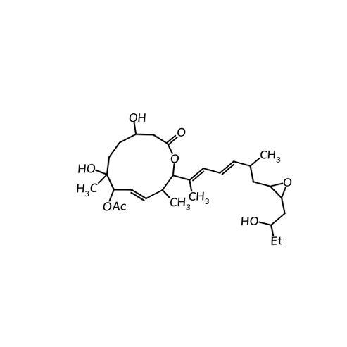 CCC(O)CC1OC1CC(C)/C=C/C=C(\C)C1OC(=O)CC(O)CCC(C)(O)C(OC(C)=O)/C=C/C1C